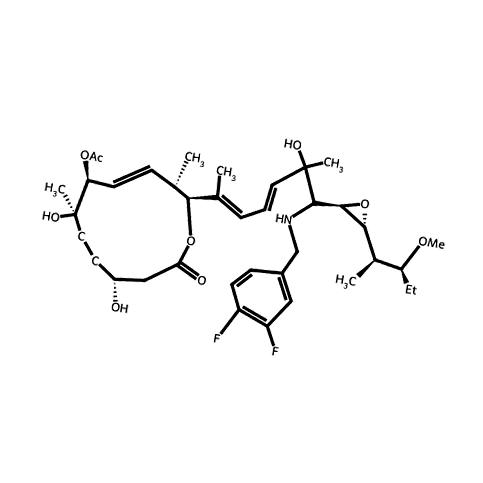 CC[C@H](OC)[C@@H](C)[C@H]1O[C@@H]1C(NCc1ccc(F)c(F)c1)C(C)(O)/C=C/C=C(\C)[C@H]1OC(=O)C[C@H](O)CC[C@@](C)(O)[C@@H](OC(C)=O)/C=C/[C@@H]1C